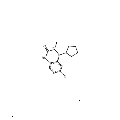 C[C@@H]1C(=O)Nc2cnc(Cl)cc2N1C1CCCC1